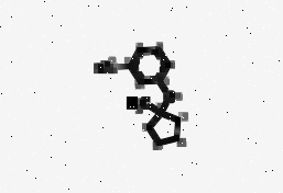 CCCCc1cccc(OC2(C)CCCC2)c1